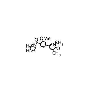 COc1cc(-c2cc(C)c(=O)n(C)c2)ccc1C(=O)N1C[C@@H]2CC1CN2